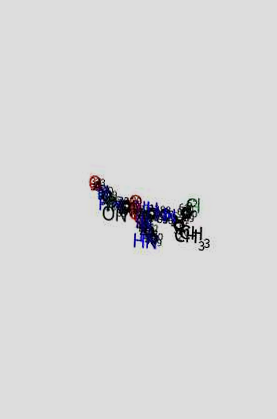 CC1(C)CCC(CN2CCN(c3ccc(C(=O)NS(=O)(=O)c4ccc(NCC5(F)CCN(C6COC6)CC5)c(N=O)c4)c(-n4ncc5nc6[nH]ccc6cc54)c3)CC2)=C(c2ccc(Cl)cc2)C1